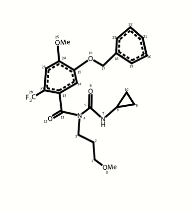 COCCCN(C(=O)NC1CC1)C(=O)c1cc(OCc2ccccc2)c(OC)cc1C(F)(F)F